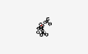 c1ccc(-c2ccccc2N(c2ccc(-c3ccc4c5ccccc5n(-c5ccccc5)c4c3)cc2)c2ccc3c(c2)c2c(-c4ccccc4)cccc2n3-c2ccccc2)cc1